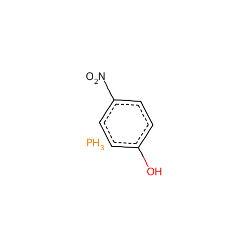 O=[N+]([O-])c1ccc(O)cc1.P